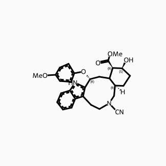 COC(=O)[C@@H]1C2C[C@@H](Oc3ccc(OC)cc3)c3[nH]c4ccccc4c3CCN(C#N)C[C@@H]2CC[C@@H]1O